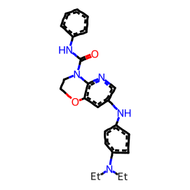 CCN(CC)c1ccc(Nc2cnc3c(c2)OCCN3C(=O)Nc2ccccc2)cc1